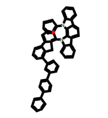 c1ccc(-c2ccc(-c3cccc(-c4cccc5c4Cc4c-5cccc4-n4c5ccccc5c5ccc6c7ccccc7n(-c7ccccc7)c6c54)c3)cc2)cc1